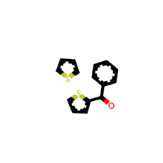 O=C(c1ccccc1)c1cccs1.c1ccsc1